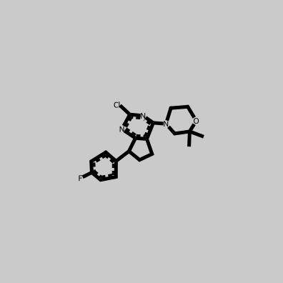 CC1(C)CN(c2nc(Cl)nc3c2CCC3c2ccc(F)cc2)CCO1